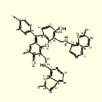 Cc1ccc(-c2c3cc(C)c(=O)c(CNc4cccc5ccc(C)nc45)c-3oc3c(CNc4cccc5ccc(C)nc45)c(O)ccc23)cc1